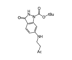 CC(=O)CCNc1ccc2c(=O)[nH]n(C(=O)OC(C)(C)C)c2c1